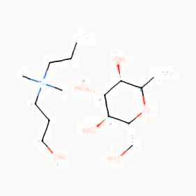 CCCCCCCCCCCC[N+](C)(C)CCCO.COC1O[C@H](CO)[C@@H](O)[C@H](O)[C@H]1O